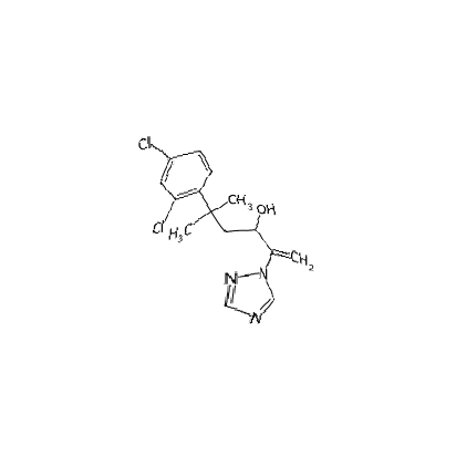 C=C(C(O)CC(C)(C)c1ccc(Cl)cc1Cl)n1cncn1